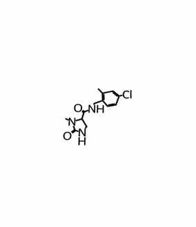 Cc1cc(Cl)ccc1CNC(=O)C1CNC(=O)N1C